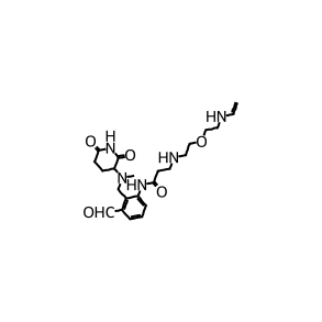 C=CNCCOCCNCCC(=O)Nc1cccc(C=O)c1CN(C)C1CCC(=O)NC1=O